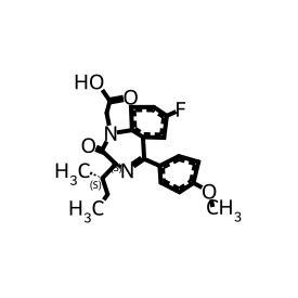 CC[C@H](C)[C@@H]1N=C(c2ccc(OC)cc2)c2cc(F)ccc2N(CC(=O)O)C1=O